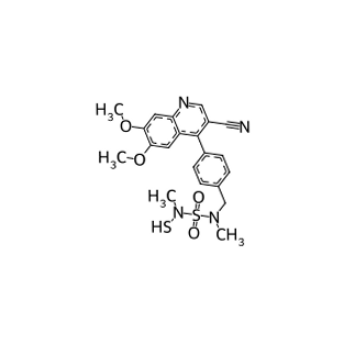 COc1cc2ncc(C#N)c(-c3ccc(CN(C)S(=O)(=O)N(C)S)cc3)c2cc1OC